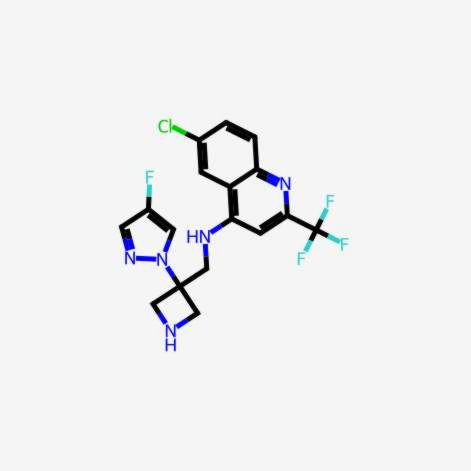 Fc1cnn(C2(CNc3cc(C(F)(F)F)nc4ccc(Cl)cc34)CNC2)c1